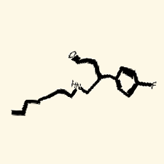 CCCCCCNCC(CC=O)c1ccc(F)cc1